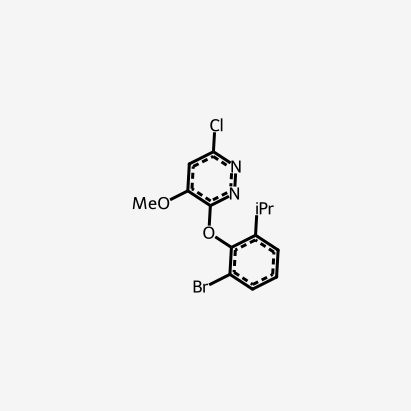 COc1cc(Cl)nnc1Oc1c(Br)cccc1C(C)C